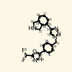 FC(F)c1nnc(-c2ccc(Cn3cc(-c4cccc5c4CNC5)nn3)cc2)o1